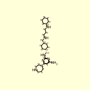 Nc1cc(N2CCCNCC2)nc(NC[C@H]2CC[C@H](CNCCCNC3CCCCC3)CC2)n1